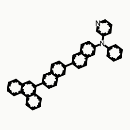 c1ccc(N(c2cccnc2)c2ccc3cc(-c4ccc5cc(-c6cc7ccccc7c7ccccc67)ccc5c4)ccc3c2)cc1